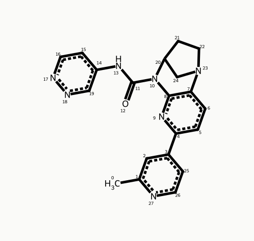 Cc1cc(-c2ccc3c(n2)N(C(=O)Nc2ccnnc2)C2CCN3C2)ccn1